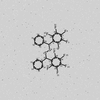 Fc1c(F)c(F)c(C(SSC(c2ccccc2)c2c(F)c(F)c(F)c(F)c2F)c2ccccc2)c(F)c1F